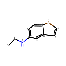 CCNc1ccc2sccc2c1